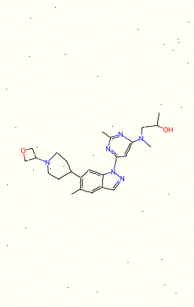 Cc1nc(N(C)CC(C)O)cc(-n2ncc3cc(C)c(C4CCN(C5COC5)CC4)cc32)n1